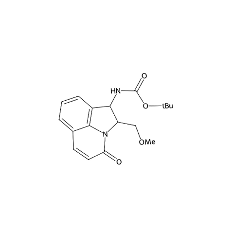 COCC1C(NC(=O)OC(C)(C)C)c2cccc3ccc(=O)n1c23